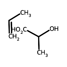 C=CC.CC(O)C(=O)O